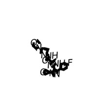 O=C(Nc1ccc(N2CCOCC2)cn1)c1c[nH]c(-c2c(-c3ccc(F)cc3)ncn2C2COC2)n1